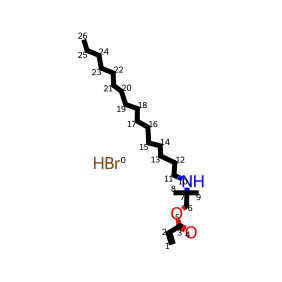 Br.C=CC(=O)OCC(C)(C)NCCCCCCCCCCCCCCCC